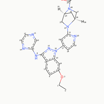 CCOc1ccc2c(Nc3cnccn3)nn(-c3ccnc(N4C[C@@H]5C[C@H]4CN5C(=O)O)c3)c2c1